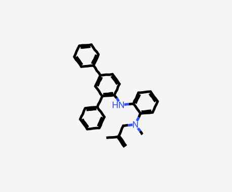 C=C(C)CN(C)c1ccccc1Nc1ccc(-c2ccccc2)cc1-c1ccccc1